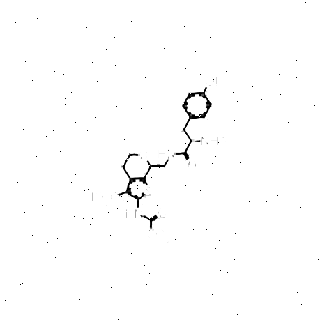 CC(=O)N[C@H](Cc1ccc(O)cc1)C(=O)NCC1OCCc2c1sc(NC(=O)C(=O)O)c2C(=O)O